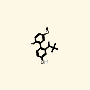 COc1ccc(F)c(-c2ccc(O)cc2C(C)C(C)(C)C)c1